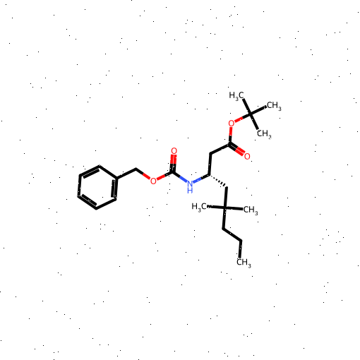 CCCC(C)(C)C[C@@H](CC(=O)OC(C)(C)C)NC(=O)OCc1ccccc1